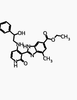 CCOC(=O)c1cc(C)c2nc(-c3c(NCC(O)c4ccccc4)cc[nH]c3=O)[nH]c2c1